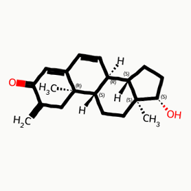 C=C1C[C@@]2(C)C(=CC1=O)C=C[C@H]1[C@@H]3CC[C@H](O)[C@@]3(C)CC[C@@H]12